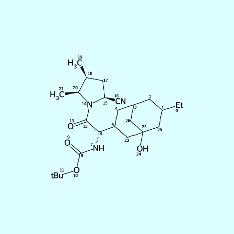 CCC1CC2CC([C@H](NC(=O)OC(C)(C)C)C(=O)N3[C@H](C#N)C[C@H](C)[C@@H]3C)CC(O)(C1)C2